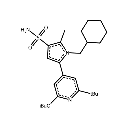 Cc1c(S(N)(=O)=O)cc(-c2cc(OCC(C)C)nc(C(C)(C)C)c2)n1CC1CCCCC1